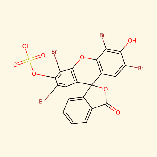 O=C1OC2(c3ccccc31)c1cc(Br)c(O)c(Br)c1Oc1c2cc(Br)c(OS(=O)(=O)O)c1Br